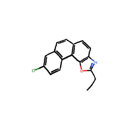 CCc1nc2ccc3ccc4cc(Cl)ccc4c3c2o1